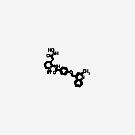 Cc1cc(COc2ccc(C(=O)NC3[C@H](CC(=O)NO)CCCN3C(C)C)cc2)c2ccccc2n1